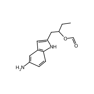 CCC(Cc1cc2cc(N)ccc2[nH]1)OC=O